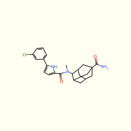 CN(C(=O)c1ccc(-c2cccc(Cl)c2)[nH]1)C1C2CC3CC1CC(C(N)=O)(C3)C2